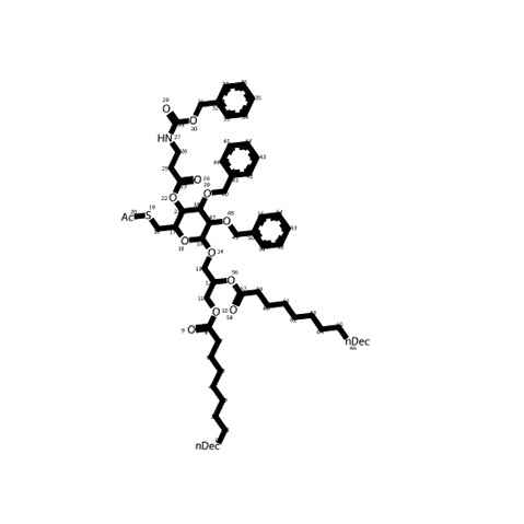 CCCCCCCCCCCCCCCCCC(=O)OCC(COC1OC(CSC(C)=O)C(OC(=O)CCNC(=O)OCc2ccccc2)C(OCc2ccccc2)C1OCc1ccccc1)OC(=O)CCCCCCCCCCCCCCCCC